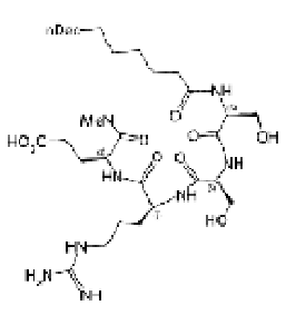 CCCCCCCCCCCCCCCC(=O)N[C@@H](CO)C(=O)N[C@@H](CO)C(=O)N[C@@H](CCCNC(=N)N)C(=O)N[C@@H](CCC(=O)O)C(=O)NC